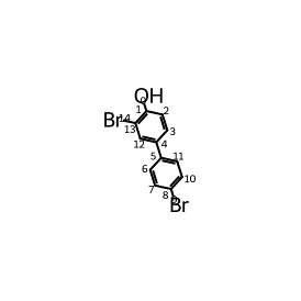 Oc1ccc(-c2ccc(Br)cc2)cc1Br